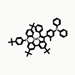 Cc1cc(N(c2ccccc2)c2ccccc2)ccc1-c1c(-c2ccccc2)n2c3c(cc(C(C)(C)C)cc13)-c1cc(C(C)(C)C)cc3c1B2c1cc(C(C)(C)C)ccc1N3c1ccc(C(C)(C)C)cc1